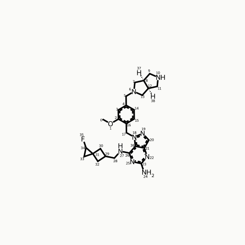 COc1cc(CN2C[C@H]3CNC[C@H]3C2)ccc1Cn1ncc2nc(N)nc(NCC3CC4(C3)CC4F)c21